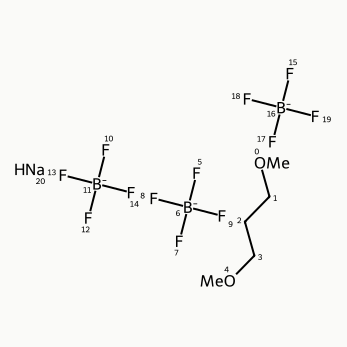 COCCCOC.F[B-](F)(F)F.F[B-](F)(F)F.F[B-](F)(F)F.[NaH]